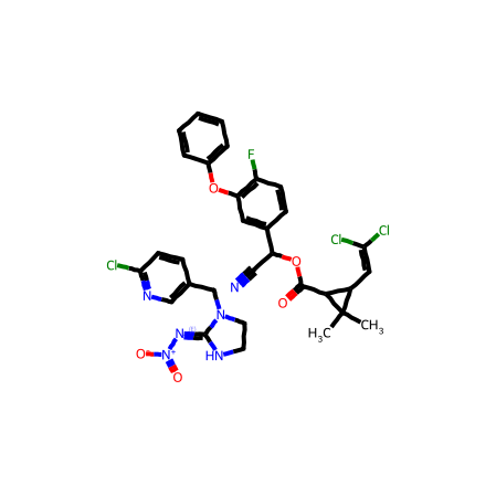 CC1(C)C(C=C(Cl)Cl)C1C(=O)OC(C#N)c1ccc(F)c(Oc2ccccc2)c1.O=[N+]([O-])/N=C1\NCCN1Cc1ccc(Cl)nc1